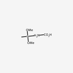 CO[Si](C)(C)OC.NC(=O)O